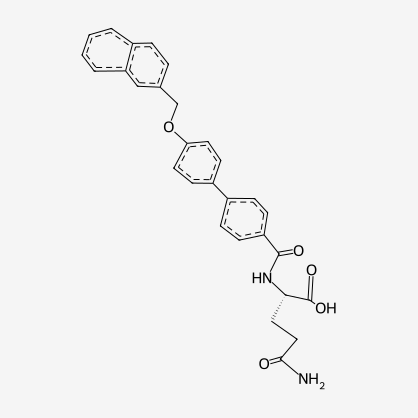 NC(=O)CC[C@H](NC(=O)c1ccc(-c2ccc(OCc3ccc4ccccc4c3)cc2)cc1)C(=O)O